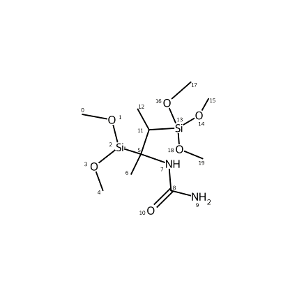 CO[Si](OC)C(C)(NC(N)=O)C(C)[Si](OC)(OC)OC